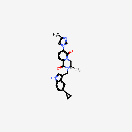 Cc1cn(-c2ccc3n(c2=O)C[C@@H](C)N(Cc2c[nH]c4ccc(C5CC5)cc24)C3=O)cn1